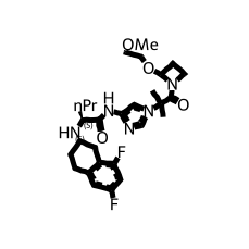 CCC[C@H](N[C@H]1CCc2cc(F)cc(F)c2C1)C(=O)Nc1cn(C(C)(C)C(=O)N2CCC2OCCOC)cn1